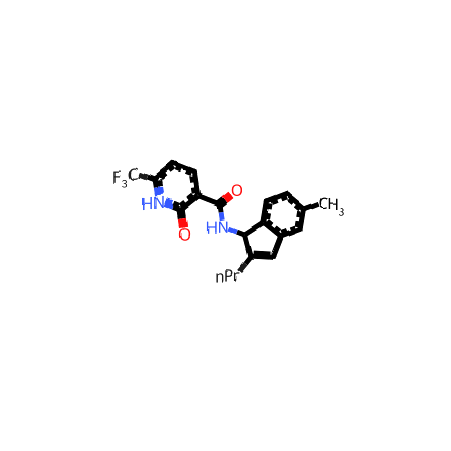 CCCC1=Cc2cc(C)ccc2C1NC(=O)c1ccc(C(F)(F)F)[nH]c1=O